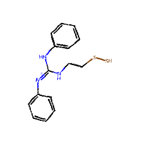 SSCCN/C(=N\c1ccccc1)Nc1ccccc1